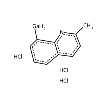 Cc1ccc2ccc[c]([GaH2])c2n1.Cl.Cl.Cl